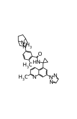 Cc1ccc2c(C3(NC(=O)c4cc(N5CC6CCC(C5)N6C)ccc4C)CC3)cc(-n3nccn3)cc2n1